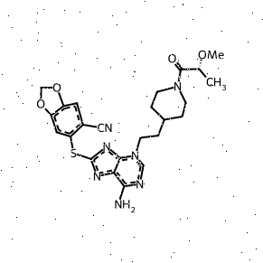 CO[C@H](C)C(=O)N1CCC(CCn2cnc(N)c3nc(Sc4cc5c(cc4C#N)OCO5)nc2-3)CC1